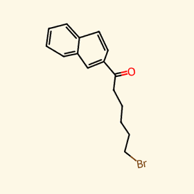 O=C(CCCCCBr)c1ccc2ccccc2c1